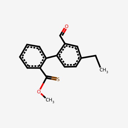 CCc1ccc(-c2ccccc2C(=S)OC)c(C=O)c1